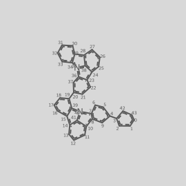 c1ccc(-c2ccc3c(c2)c2cccc4c5cccc(-c6ccc7c8cccc9c%10ccccc%10n(c7c6)c98)c5n3c24)cc1